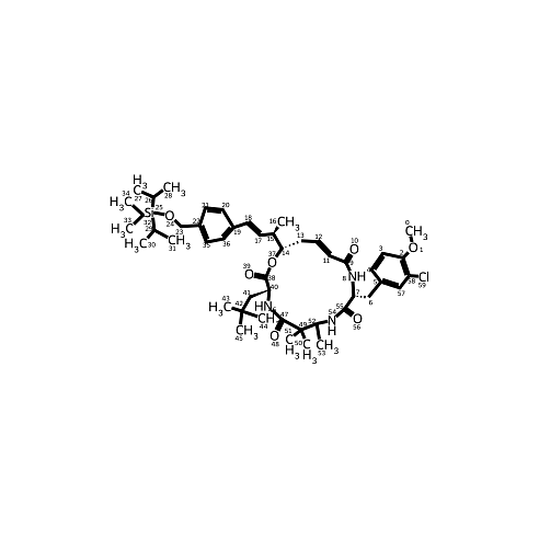 COc1ccc(C[C@H]2NC(=O)/C=C/C[C@@H]([C@H](C)/C=C/c3ccc(CO[Si](C(C)C)(C(C)C)C(C)C)cc3)OC(=O)[C@H](CC(C)(C)C)NC(=O)C(C)(C)C(C)NC2=O)cc1Cl